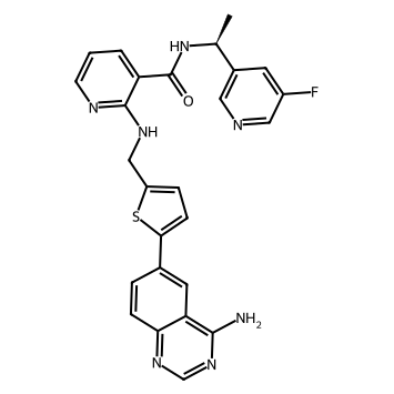 C[C@H](NC(=O)c1cccnc1NCc1ccc(-c2ccc3ncnc(N)c3c2)s1)c1cncc(F)c1